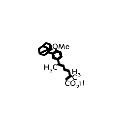 COc1ccc(C(C)=CC=CC(C)=CC(=O)O)cc1C12CC3CC(CC(C3)C1)C2